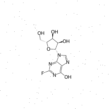 OC[C@H]1O[C@@H](n2cnc3c(O)nc(F)nc32)[C@H](O)[C@@H]1O